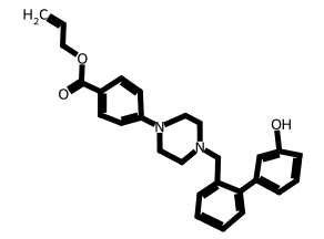 C=CCOC(=O)c1ccc(N2CCN(Cc3ccccc3-c3cccc(O)c3)CC2)cc1